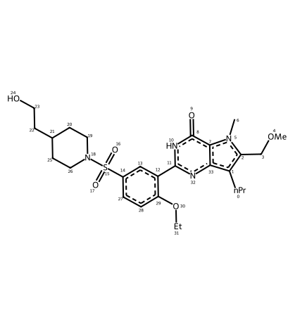 CCCc1c(COC)n(C)c2c(=O)[nH]c(-c3cc(S(=O)(=O)N4CCC(CCO)CC4)ccc3OCC)nc12